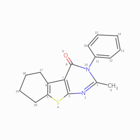 Cc1nc2sc3c(c2c(=O)n1-c1ccccc1)CCCC3